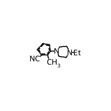 CCN1CCN(c2cccc(C#N)c2C)CC1